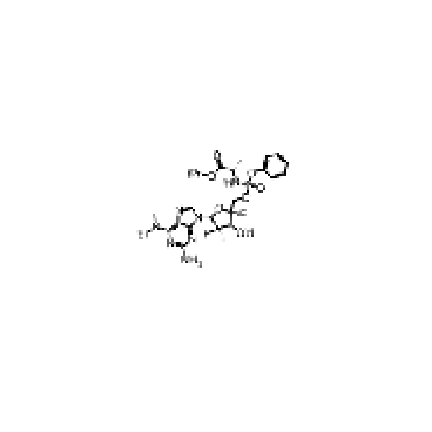 CCN(C)c1nc(N)nc2c1ncn2[C@@H]1O[C@](F)(COP(=O)(N[C@@H](C)C(=O)OC(C)C)Oc2ccccc2)[C@@H](O)[C@@]1(C)F